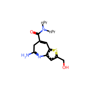 CCCN(CCC)C(=O)C1=Cc2sc(CO)cc2N=C(N)C1